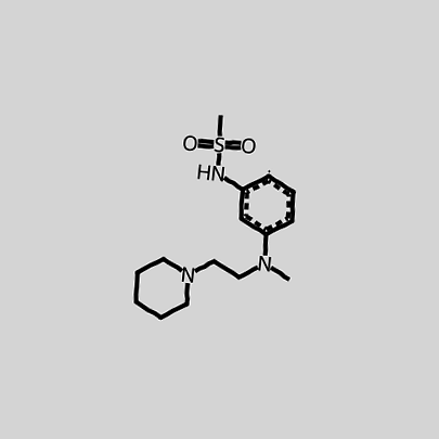 CN(CCN1CCCCC1)c1cc[c]c(NS(C)(=O)=O)c1